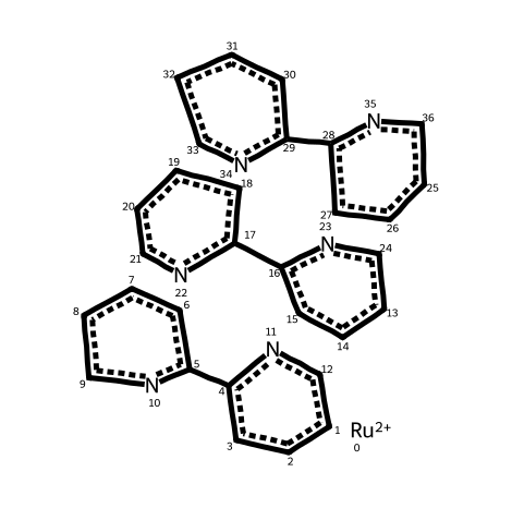 [Ru+2].c1ccc(-c2ccccn2)nc1.c1ccc(-c2ccccn2)nc1.c1ccc(-c2ccccn2)nc1